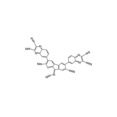 N#CN=C1c2cc(C#N)c(-c3ccc4nc(C#N)c(C#N)nc4c3)cc2-c2cc(-c3ccc4nc(C#N)c(C#N)nc4c3)c(C#N)cc21